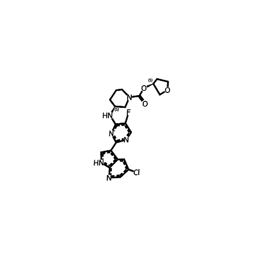 O=C(O[C@H]1CCOC1)N1CCC[C@H](Nc2nc(-c3c[nH]c4ncc(Cl)cc34)ncc2F)C1